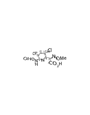 CON=C(C(=O)O)c1nc(NC=O)c(Cl)cc1Cl